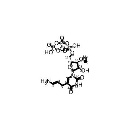 C#N.NC=CCc1cn([C@@H]2O[C@H](COP(=O)(O)OP(=O)(O)OP(=O)(O)O)[C@@H](O)[C@H]2O)c(=O)[nH]c1=O